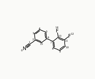 N#Cc1cccc(-c2cccc(F)c2F)c1